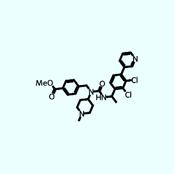 COC(=O)c1ccc(CN(C(=O)NC(C)c2ccc(-c3cccnc3)c(Cl)c2Cl)C2CCN(C)CC2)cc1